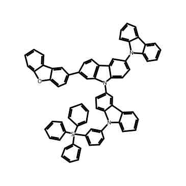 c1ccc([Si](c2ccccc2)(c2ccccc2)c2cccc(-n3c4ccccc4c4cc(-n5c6ccc(-n7c8ccccc8c8ccccc87)cc6c6ccc(-c7ccc8oc9ccccc9c8c7)cc65)ccc43)c2)cc1